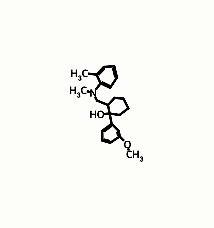 COc1cccc(C2(O)CCCCC2CN(C)c2ccccc2C)c1